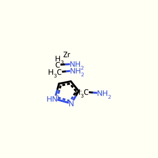 CN.CN.CN.[Zr].[c]1cc[nH]n1